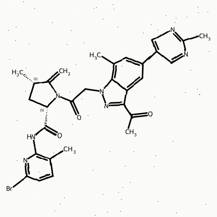 C=C1[C@@H](C)C[C@@H](C(=O)Nc2nc(Br)ccc2C)N1C(=O)Cn1nc(C(C)=O)c2cc(-c3cnc(C)nc3)cc(C)c21